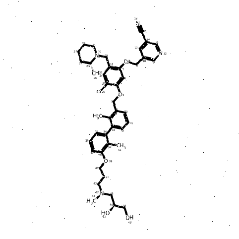 Cc1c(COc2cc(OCc3cncc(C#N)c3)c(CN3CCCC[C@H]3C)cc2Cl)cccc1-c1cccc(OCCCN(C)C[C@H](O)CO)c1C